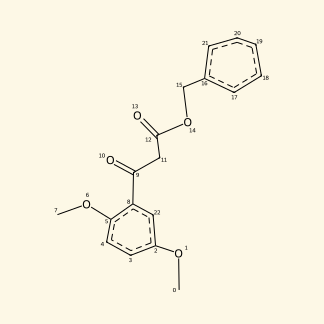 COc1ccc(OC)c(C(=O)CC(=O)OCc2ccccc2)c1